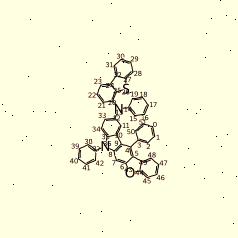 c1ccc(-c2c3c(cc4c2c2cc(N(c5ccccc5)c5cccc6c5sc5ccccc56)ccc2n4-c2ccccc2)oc2ccccc23)cc1